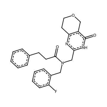 O=C(CCc1ccccc1)N(Cc1nc2c(c(=O)[nH]1)COCC2)Cc1ccccc1F